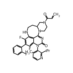 C=CC(=O)N1CCN2c3nc(=O)n(-c4c(C)ccnc4C(C)C)c4c(F)c(-c5ccccc5F)c(F)c(c34)NCCC2C1